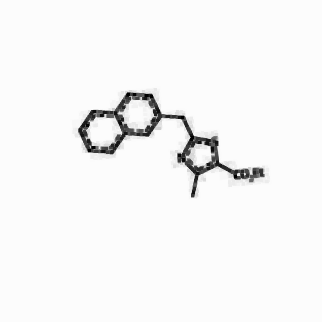 CCOC(=O)c1sc(Cc2ccc3ccccc3c2)nc1C